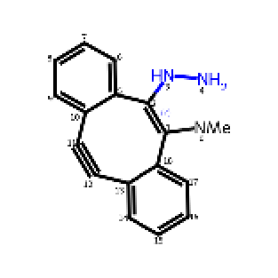 CN/C1=C(\NN)c2ccccc2C#Cc2ccccc21